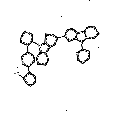 Oc1ccccc1-c1ccc(-c2ccccc2-n2c3ccccc3c3cc(-c4ccc5c6ccccc6n(-c6ccccc6)c5c4)ccc32)cc1